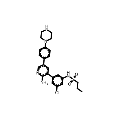 CCCS(=O)(=O)Nc1cc(Cl)cc(-c2cc(-c3ccc(N4CCNCC4)cc3)cnc2N)c1